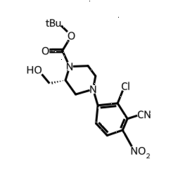 CC(C)(C)OC(=O)N1CCN(c2ccc([N+](=O)[O-])c(C#N)c2Cl)C[C@@H]1CO